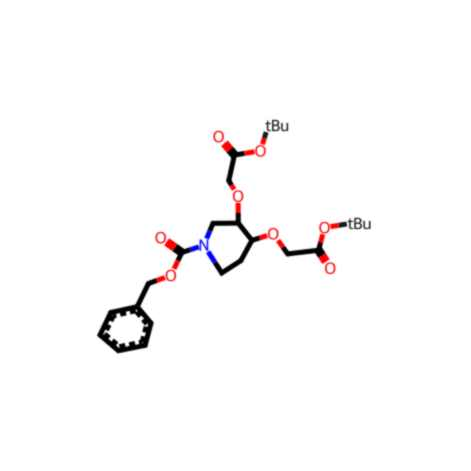 CC(C)(C)OC(=O)COC1CCN(C(=O)OCc2ccccc2)CC1OCC(=O)OC(C)(C)C